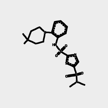 CN(C)S(=O)(=O)c1cnc(S(=O)(=O)Nc2ccccc2N2CCC(C)(C)CC2)s1